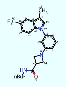 CCCCNC(=O)C1CN(c2cccc(-n3cc(C)c4cc(C(F)(F)F)ccc43)c2)C1